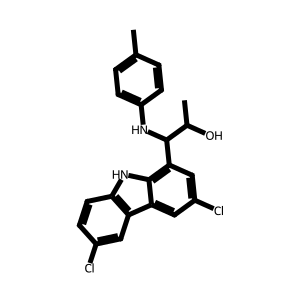 Cc1ccc(NC(c2cc(Cl)cc3c2[nH]c2ccc(Cl)cc23)C(C)O)cc1